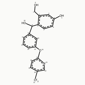 OCc1cc(O)ccc1C(O)c1cccc(Oc2ccc(C(F)(F)F)cn2)c1